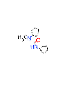 CN(CC(=O)Nc1ccccc1)C1CCCCC1